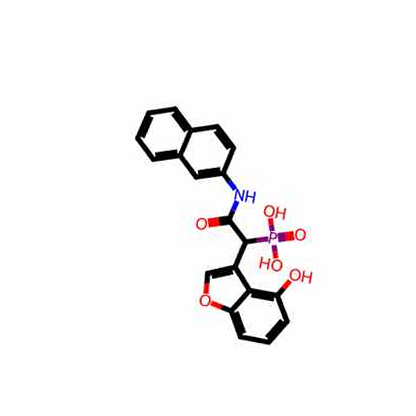 O=C(Nc1ccc2ccccc2c1)C(c1coc2cccc(O)c12)P(=O)(O)O